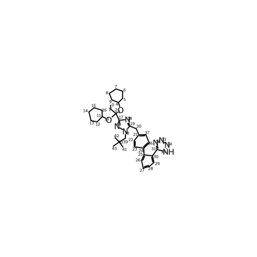 CCC(OC1CCCCC1)(OC1CCCCC1)c1nc(Cc2ccc(-c3ccccc3-c3nnn[nH]3)cc2)n(CC(C)(C)C)n1